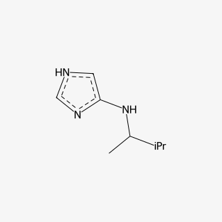 CC(C)C(C)Nc1c[nH]cn1